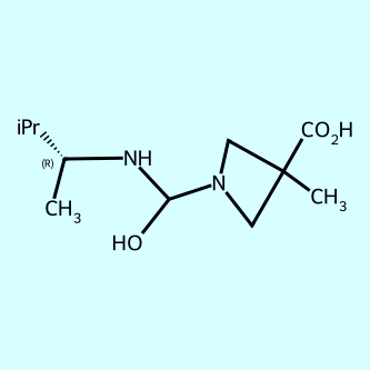 CC(C)[C@@H](C)NC(O)N1CC(C)(C(=O)O)C1